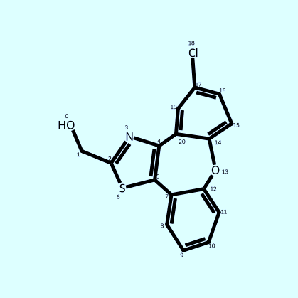 OCc1nc2c(s1)-c1ccccc1Oc1ccc(Cl)cc1-2